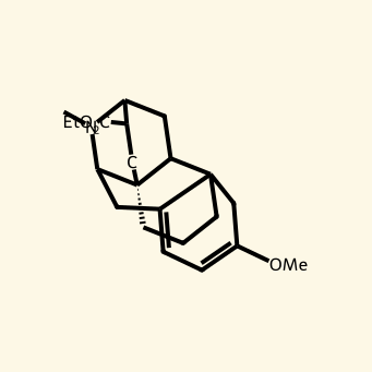 CCOC(=O)C1C[C@]23CCCC45CC(OC)=CC=C4CC2N(C)C1CC53